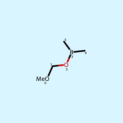 COCOB(C)C